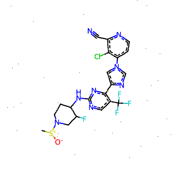 C[S+]([O-])N1CCC(Nc2ncc(C(F)(F)F)c(-c3cn(-c4ccnc(C#N)c4Cl)cn3)n2)C(F)C1